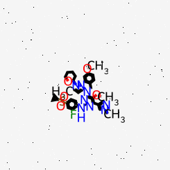 COc1ccc(CN(c2cc(C)n(C3CCCCO3)n2)c2nc(Nc3ccc(S(=O)(=O)C4CC4)cc3F)nc(-c3cnn(C)c3)c2OC)cc1